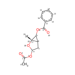 CC(=O)OC1CC2C(OC(=O)c3ccccc3)[C@H]2O1